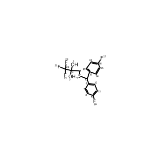 OC(O)(CSC(c1ccc(F)cc1)c1ccc(F)cc1)C(F)(F)F